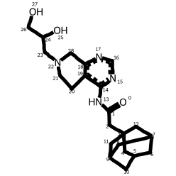 O=C(CC12CC3CC(CC(C3)C1)C2)Nc1ncnc2c1CCN(CC(O)CO)C2